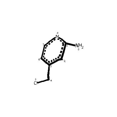 Nc1cc(CCl)ccn1